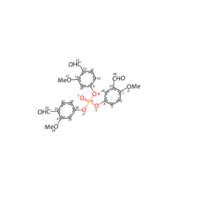 COc1ccc(OP(=O)(Oc2ccc(C=O)c(OC)c2)Oc2ccc(C=O)c(OC)c2)cc1C=O